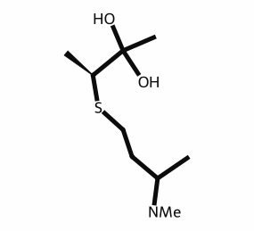 CNC(C)CCS[C@@H](C)C(C)(O)O